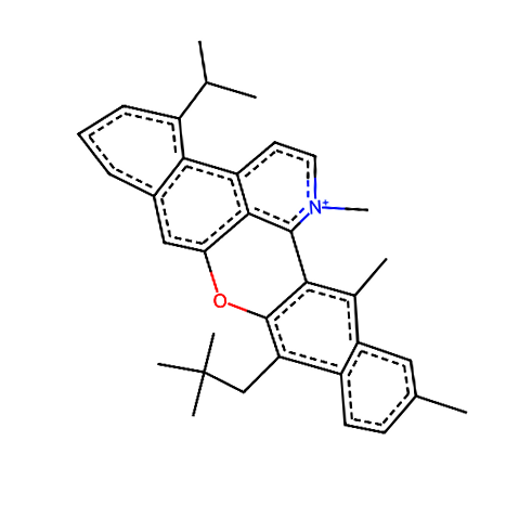 Cc1ccc2c(CC(C)(C)C)c3c(c(C)c2c1)-c1c2c(cc4cccc(C(C)C)c4c2cc[n+]1C)O3